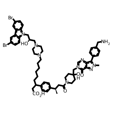 C[C@H](CC(=O)N1CCC(O)(Cn2cnc3c(-c4ccc(CN)cc4)n(C)nc3c2=O)CC1)c1ccc(C(CCCCCCN2CCN(C[C@@H](O)Cn3c4ccc(Br)cc4c4cc(Br)ccc43)CC2)CC(=O)O)cc1